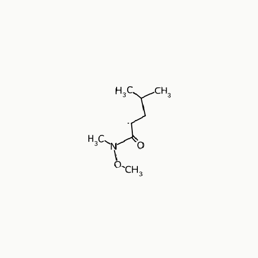 CON(C)C(=O)[CH]CC(C)C